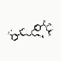 C=CCN(CS/C=C(\N=C)C1=CC(OC)CC=C1)CC1=CCC(C(O)N(C)CC(=O)O)C=C1